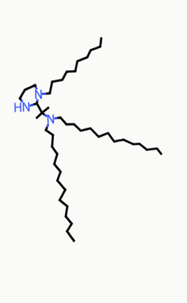 CCCCCCCCCCCCCCN(CCCCCCCCCCCCCC)C(C)(C)C1NCCCN1CCCCCCCCCC